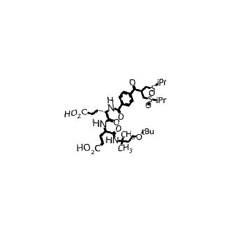 CC(C)SCC(CS(=O)(=O)C(C)C)C(=O)c1ccc(C(=O)N[C@@H](CCC(=O)O)C(=O)NC(CCC(=O)O)C(=O)NC(C)(C)CCOC(C)(C)C)cc1